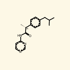 CC(C)Cc1ccc([C@@H](C)C(=O)Nc2ccncn2)cc1